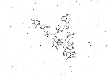 Cc1cn([C@H]2C[C@H](OP(=O)(S)OC[C@H]3O[C@@H](n4cc(C)c(=O)[nH]c4=O)C[C@@H]3O)[C@@H](COP(=O)(S)O[C@H]3C[C@H](n4cnc5c(N)ncnc54)O[C@@H]3COP(=O)(S)OC3C[C@H](n4ccc(N)nc4=O)O[C@@H]3COP(=O)(S)O[C@H]3C[C@H](n4cnc5c(=O)[nH]c(N)nc54)O[C@@H]3CO)O2)c(=O)[nH]c1=O